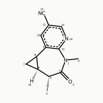 CN1C(=O)[C@H](I)[C@H]2CC2c2cc(C#N)cnc21